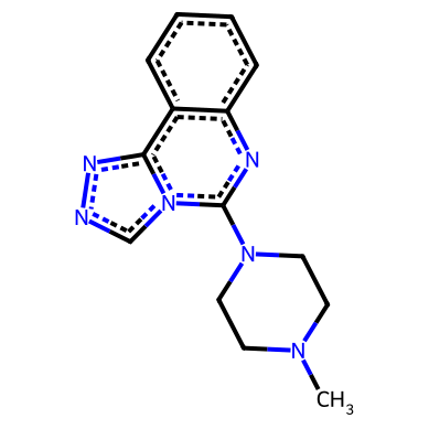 CN1CCN(c2nc3ccccc3c3nncn23)CC1